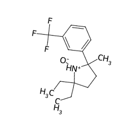 CCC1(CC)CCC(C)(c2cccc(C(F)(F)F)c2)[NH+]1[O-]